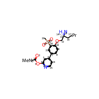 CNC(=O)Oc1cc(-c2ccc(OC[C@@](C)(N)CC(C)C)c(S(C)(=O)=O)c2)ccn1